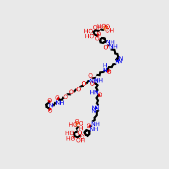 O=C(CCCCn1cc(CCCCNC(=O)Nc2ccc(O[C@H]3O[C@H](CCP(=O)(O)O)[C@@H](O)[C@H](O)[C@@H]3O)cc2)nn1)NCCCC[C@H](NC(=O)CCCNC(=O)CCCCn1cc(CCCCNC(=O)Nc2ccc(O[C@H]3O[C@H](CCP(=O)(O)O)[C@@H](O)[C@H](O)[C@@H]3O)cc2)nn1)C(=O)NCCOCCOCCOCCOCCC(=O)NCCN1C(=O)C=CC1=O